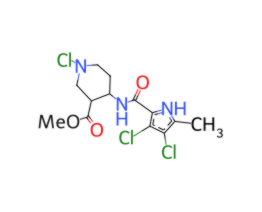 COC(=O)C1CN(Cl)CCC1NC(=O)c1[nH]c(C)c(Cl)c1Cl